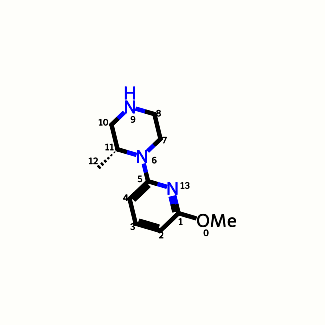 COc1cccc(N2CCNC[C@H]2C)n1